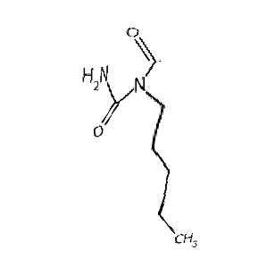 CCCCCN([C]=O)C(N)=O